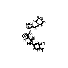 N=C(Nc1ccc(F)c(Cl)c1)c1nonc1Cn1nnnc1CN1CCOCC1